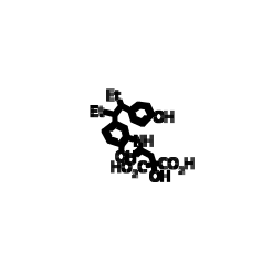 CCC(c1ccc(O)cc1)C(CC)c1ccc(O)c(NC(=O)CC(O)(C(=O)O)C(=O)O)c1